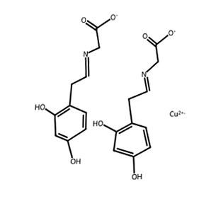 O=C([O-])CN=CCc1ccc(O)cc1O.O=C([O-])CN=CCc1ccc(O)cc1O.[Cu+2]